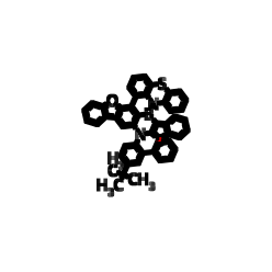 CC(C)(C)c1ccc(N2c3cc4c(oc5ccccc54)c4c3B(c3c2sc2ccccc32)N2c3ccccc3Sc3cccc-4c32)c(-c2ccccc2)c1